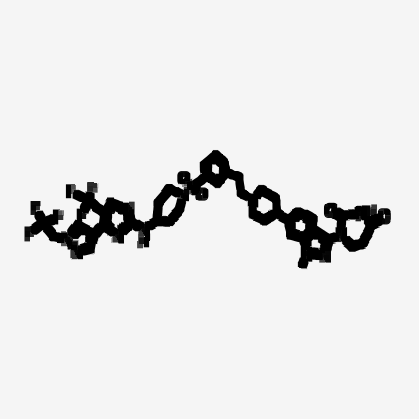 Cn1nc(N2CCC(=O)NC2=O)c2ccc(C3CCN(CCc4cccc(S(=O)(=O)N5CCC(Nc6ncc(C(F)(F)F)c(-c7cnn(CC(F)(F)F)c7)n6)CC5)c4)CC3)cc21